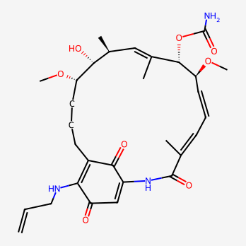 C=CCNC1=C2CCC[C@H](OC)[C@H](O)[C@@H](C)/C=C(\C)[C@H](OC(N)=O)[C@@H](OC)/C=C\C=C(/C)C(=O)NC(=CC1=O)C2=O